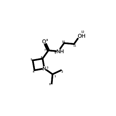 CC(C)N1CCC1C(=O)NCCO